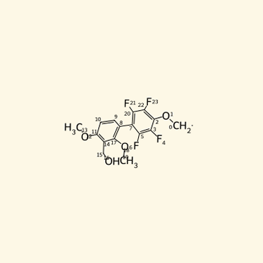 [CH2]Oc1c(F)c(F)c(-c2ccc(OC)c(CO)c2OC)c(F)c1F